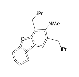 CNc1c(CC(C)C)cc2c(oc3ccccc32)c1CC(C)C